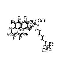 CCCCCCCC[Si](CCCCCCCC[Si](C)(CC)CC)(Oc1c(F)c2c(F)c(F)c3[c]c(F)c(F)c4c(F)c(F)c(c1F)c2c34)C(C)C